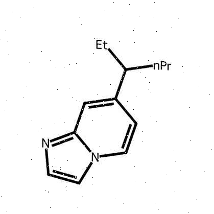 CCCC(CC)c1ccn2ccnc2c1